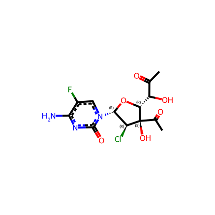 CC(=O)C(O)[C@H]1O[C@@H](n2cc(F)c(N)nc2=O)[C@H](Cl)[C@@]1(O)C(C)=O